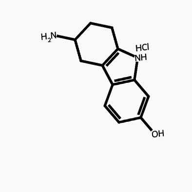 Cl.NC1CCc2[nH]c3cc(O)ccc3c2C1